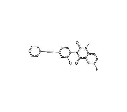 Cn1c(=O)n(-c2ccc(C#Cc3ccccc3)cc2Cl)c(=O)c2cc(F)ccc21